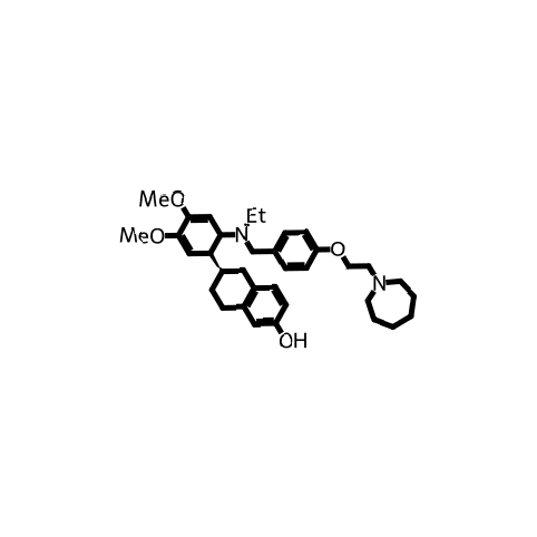 CCN(Cc1ccc(OCCN2CCCCCC2)cc1)C1C=C(OC)C(OC)=CC1[C@@H]1CCc2cc(O)ccc2C1